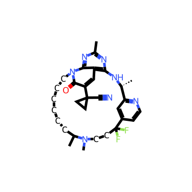 Cc1nc2c3cc(C4(C#N)CC4)c(=O)n(c3n1)CCCCCCC(C)N(C)CCC(F)(F)c1ccnc(c1)[C@@H](C)N2